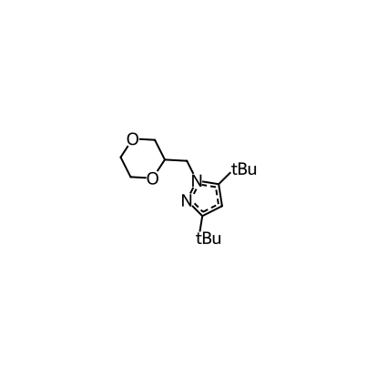 CC(C)(C)c1cc(C(C)(C)C)n(CC2COCCO2)n1